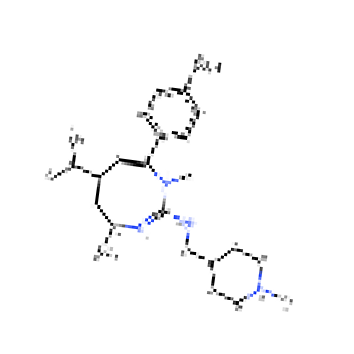 CCCC(CC)C1/C=C(/c2ccc(C(=O)O)cc2)N(C)/C(NCC2CCN(CC)CC2)=N\C(C(Cl)(Cl)Cl)C1